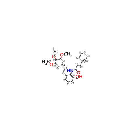 COc1cc(/C=C/c2cccc(O)c2NC(=O)/C=C/c2ccccc2)cc(OC)c1OC